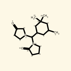 CC1CC(C(N2CCC(=O)C2)N2CCCC2=O)CC(C)(C)C1